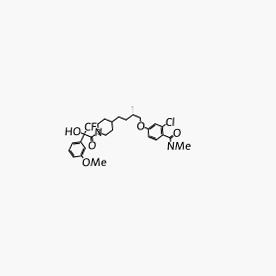 CNC(=O)c1ccc(OC[C@@H](C)CCC2CCN(C(=O)[C@@](O)(c3cccc(OC)c3)C(F)(F)F)CC2)cc1Cl